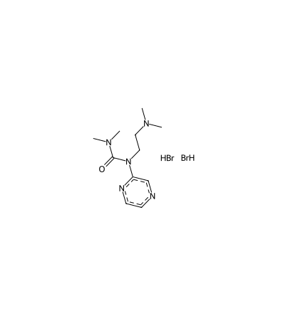 Br.Br.CN(C)CCN(C(=O)N(C)C)c1cnccn1